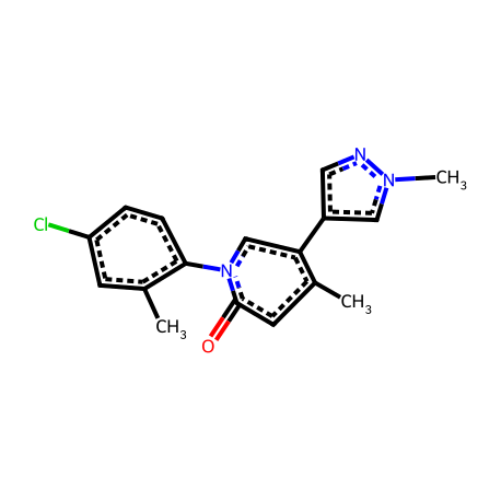 Cc1cc(=O)n(-c2ccc(Cl)cc2C)cc1-c1cnn(C)c1